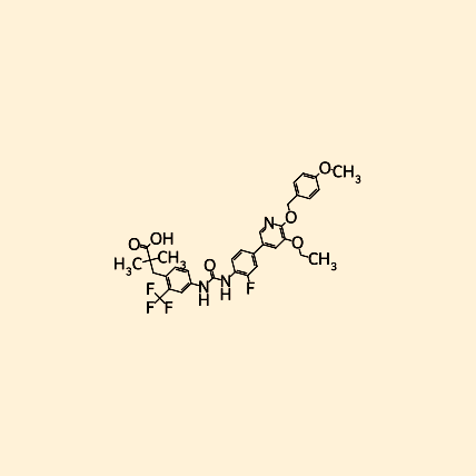 CCOc1cc(-c2ccc(NC(=O)Nc3ccc(CC(C)(C)C(=O)O)c(C(F)(F)F)c3)c(F)c2)cnc1OCc1ccc(OC)cc1